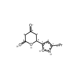 CC(C)c1cc(C2CC(=O)CC(=O)O2)on1